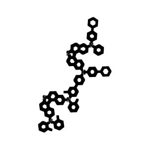 Cc1ccccc1N(c1ccc2c(ccc3sc4ccc5cc(N(c6ccccc6C)c6ccc(-c7ccc(N(c8ccc(C9CCCCC9)cc8)c8ccc9c(ccc%10sc%11ccc%12cc(N(c%13ccccc%13)c%13ccc(C%14CCCCC%14)cc%13)ccc%12c%11c%109)c8)cc7)cc6C)ccc5c4c32)c1)c1ccccc1C